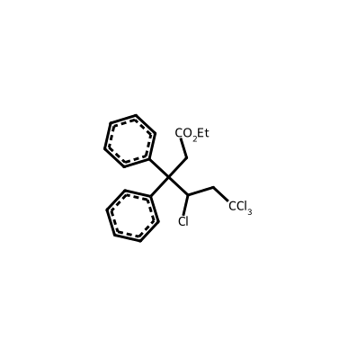 CCOC(=O)CC(c1ccccc1)(c1ccccc1)C(Cl)CC(Cl)(Cl)Cl